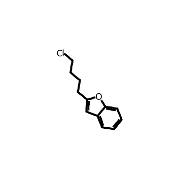 ClCCCCc1cc2ccccc2o1